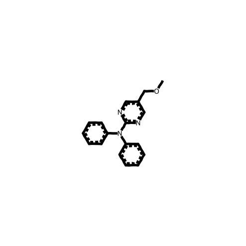 COCc1cnc(N(c2ccccc2)c2ccccc2)nc1